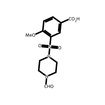 COc1ccc(C(=O)O)cc1S(=O)(=O)N1CCN(C=O)CC1